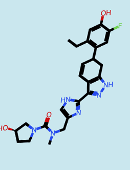 CCc1cc(O)c(F)cc1C1C=Cc2c(-c3nc(CN(C)C(=O)N4CC[C@@H](O)C4)c[nH]3)n[nH]c2C1